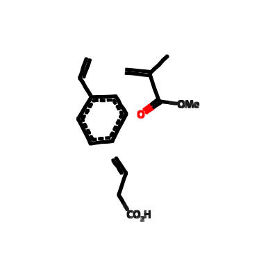 C=C(C)C(=O)OC.C=CCC(=O)O.C=Cc1ccccc1